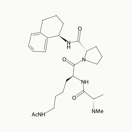 CN[C@@H](C)C(=O)N[C@@H](CCCCNC(C)=O)C(=O)N1CCC[C@H]1C(=O)N[C@@H]1CCCc2ccccc21